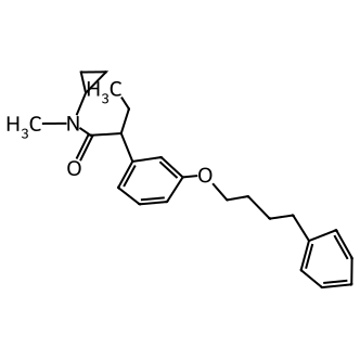 CCC(C(=O)N(C)C1CC1)c1cccc(OCCCCc2ccccc2)c1